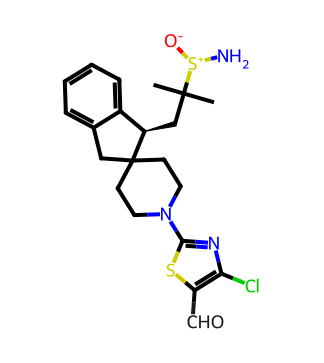 CC(C)(C[C@@H]1c2ccccc2CC12CCN(c1nc(Cl)c(C=O)s1)CC2)[S+](N)[O-]